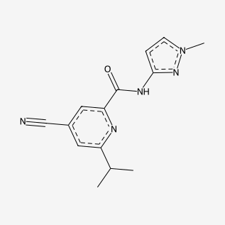 CC(C)c1cc(C#N)cc(C(=O)Nc2ccn(C)n2)n1